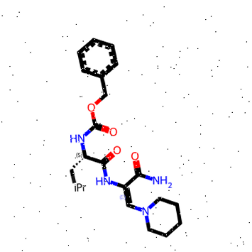 CC(C)C[C@H](NC(=O)OCc1ccccc1)C(=O)N/C(=C/N1CCCCC1)C(N)=O